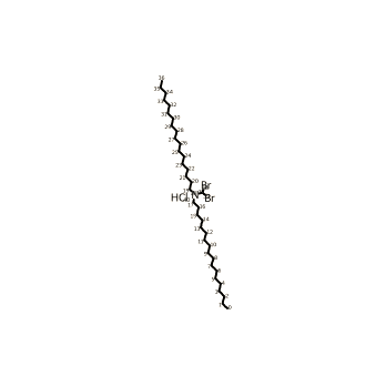 CCCCCCCCCCCCCCCCCCN(CCCCCCCCCCCCCCCCCC)C(Br)Br.Cl